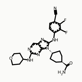 N#Cc1ccc(Nc2nc3cnc(NC4CCOCC4)nc3n2[C@H]2CC[C@H](C(N)=O)CC2)c(F)c1F